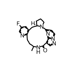 CC1CCc2ncc(F)cc2C[C@H]2CCCN2c2ccn3ncc(c3n2)C(=O)N1